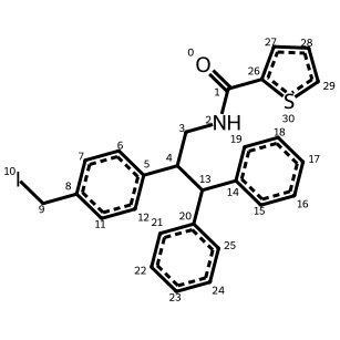 O=C(NCC(c1ccc(CI)cc1)C(c1ccccc1)c1ccccc1)c1cccs1